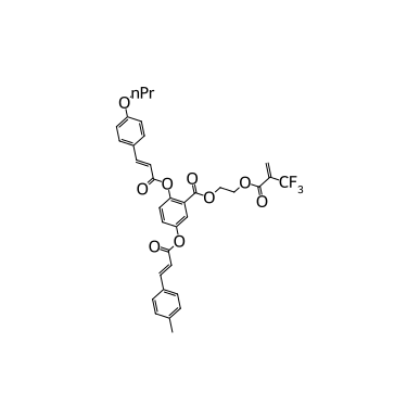 C=C(C(=O)OCCOC(=O)c1cc(OC(=O)/C=C/c2ccc(C)cc2)ccc1OC(=O)/C=C/c1ccc(OCCC)cc1)C(F)(F)F